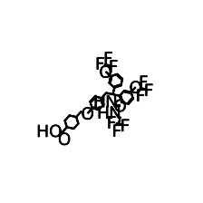 O=C(NCC(F)(F)F)NC(Cc1ccc(OCC2CCC(C(=O)O)CC2)cc1)(c1cccc(OC(F)(F)F)c1)c1cccc(OC(F)(F)F)c1